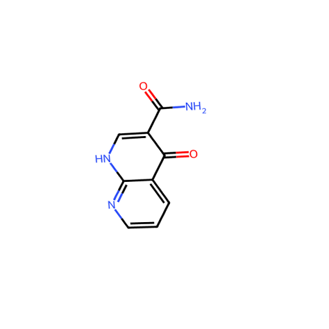 NC(=O)c1c[nH]c2ncccc2c1=O